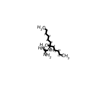 CCCCCCC(C)(CCCCC)NC(=N)N